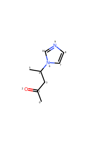 CC(=O)CC(C)n1c[c]nc1